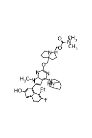 CCc1c(F)ccc2cc(O)cc(-c3cc4c(N5CC6CCC(C5)N6)nc(OCC56CCCN5[C@@H](COC(=O)N(C)C)CC6)nc4n3C)c12